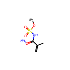 C=C(C)C(=O)NS(=O)(=O)OC(C)C.N